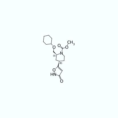 COC(=O)N1CC[C@@H](c2cc(=O)[nH]o2)C[C@H]1COC1CCCCC1